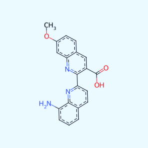 COc1ccc2cc(C(=O)O)c(-c3ccc4cccc(N)c4n3)nc2c1